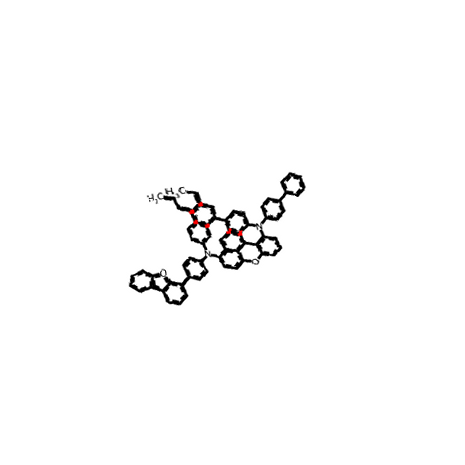 C=C/C=C(\C=C/C)c1ccc(N(c2ccc(-c3cccc4c3oc3ccccc34)cc2)c2ccc3c4c(cccc24)-c2c(cccc2N(c2ccc(-c4ccccc4)cc2)c2ccc(-c4ccccc4)cc2)O3)cc1